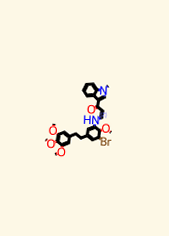 COc1cc(CCC2=CC(Br)C(OC)C(N/C=C\C(=O)c3cn(C)c4ccccc34)=C2)cc(OC)c1OC